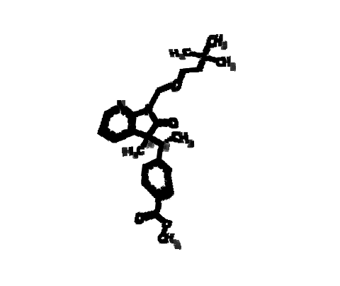 COC(=O)c1ccc([C@@H](C)[C@@]2(C)C(=O)N(COCCS(C)(C)C)c3ncccc32)cc1